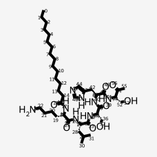 CCCCCCCCCCCCCCCC(=O)N[C@@H](CCCCN)C(=O)N[C@@H](CC(C)C)C(=O)N[C@@H](CO)C(=O)N[C@@H](Cc1cnc[nH]1)C(=O)N[C@@H](CO)C(C)=O